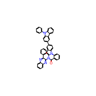 O=c1c2ccccc2n2c3ccc(-c4ccc5c(c4)c4ccccc4n5-c4ccccc4)cc3cc2n1-c1nc2ccccc2nc1-c1ccccc1